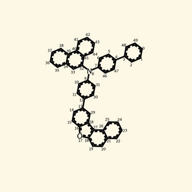 c1ccc(-c2ccc(N(c3ccc(-c4ccc5oc6ccc7ccccc7c6c5c4)cc3)c3cc4ccccc4c4ccccc34)cc2)cc1